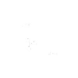 CCCCCCCCCCCCCCCCCCc1ccccc1P(c1ccccc1)c1ccccc1CCCCCCCCCCCCCCCCCC